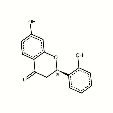 O=C1C[C@H](c2ccccc2O)Oc2cc(O)ccc21